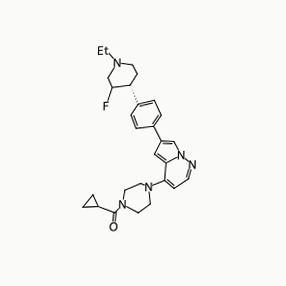 CCN1CC[C@H](c2ccc(-c3cc4c(N5CCN(C(=O)C6CC6)CC5)ccnn4c3)cc2)C(F)C1